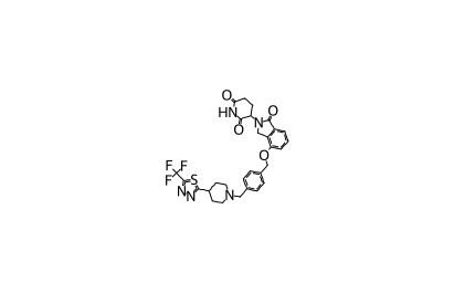 O=C1CCC(N2Cc3c(OCc4ccc(CN5CCC(c6nnc(C(F)(F)F)s6)CC5)cc4)cccc3C2=O)C(=O)N1